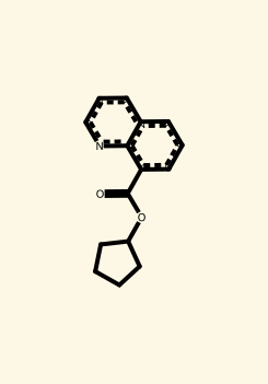 O=C(OC1CCCC1)c1cccc2cccnc12